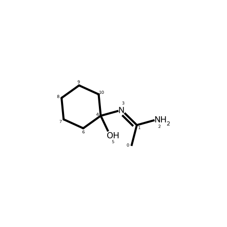 C/C(N)=N\C1(O)CCCCC1